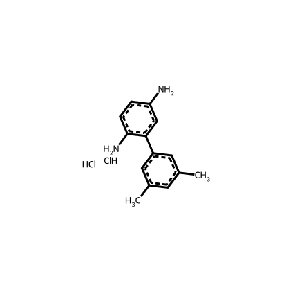 Cc1cc(C)cc(-c2cc(N)ccc2N)c1.Cl.Cl